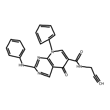 C#CCNC(=O)c1cn(-c2ccccc2)c2nc(Nc3ccccc3)ncc2c1=O